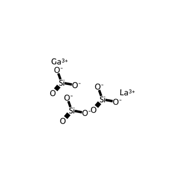 O=[Si]([O-])[O-].O=[Si]([O-])[O-].O=[Si]([O-])[O-].[Ga+3].[La+3]